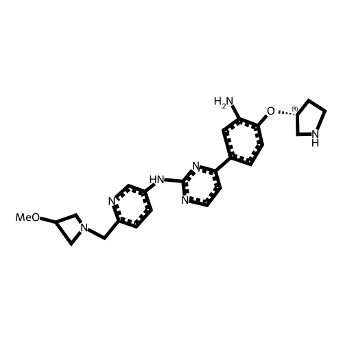 COC1CN(Cc2ccc(Nc3nccc(-c4ccc(O[C@@H]5CCNC5)c(N)c4)n3)cn2)C1